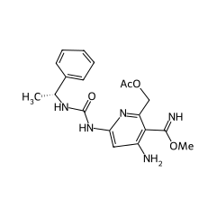 COC(=N)c1c(N)cc(NC(=O)N[C@H](C)c2ccccc2)nc1COC(C)=O